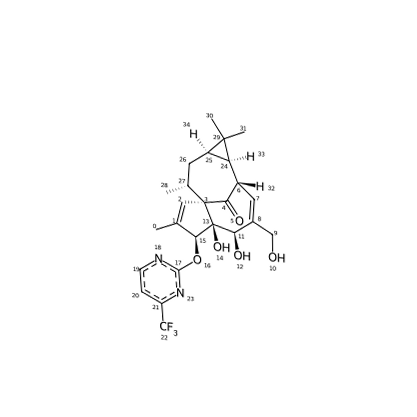 CC1=C[C@]23C(=O)[C@@H](C=C(CO)[C@@H](O)[C@]2(O)[C@H]1Oc1nccc(C(F)(F)F)n1)[C@H]1[C@@H](C[C@H]3C)C1(C)C